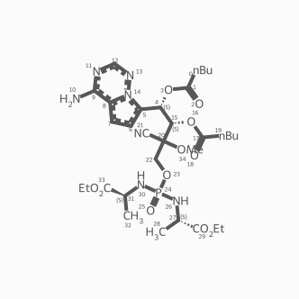 CCCCC(=O)O[C@@H](c1ccc2c(N)ncnn12)[C@H](OC(=O)CCCC)C(C#N)(COP(=O)(N[C@@H](C)C(=O)OCC)N[C@@H](C)C(=O)OCC)OC